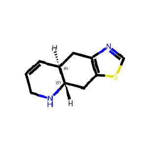 C1=C[C@H]2Cc3ncsc3C[C@@H]2NC1